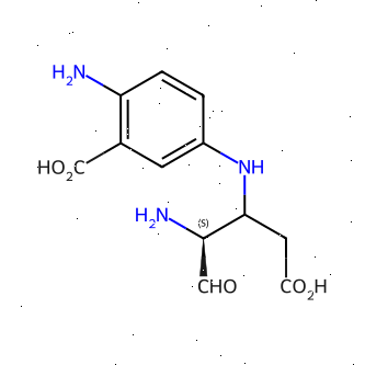 Nc1ccc(NC(CC(=O)O)[C@H](N)C=O)cc1C(=O)O